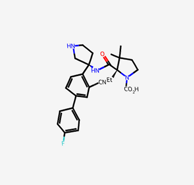 CC[C@]1(C(=O)N[C@]2(c3ccc(-c4ccc(F)cc4)cc3C#N)CCNC2)N(C(=O)O)CCC1(C)C